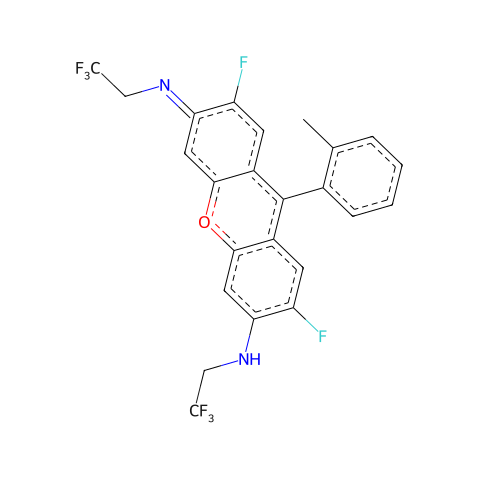 Cc1ccccc1-c1c2cc(F)c(=NCC(F)(F)F)cc-2oc2cc(NCC(F)(F)F)c(F)cc12